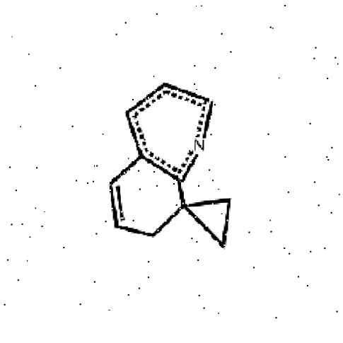 C1=Cc2cccnc2C2(C1)CC2